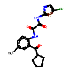 Cc1ccc(NC(=O)C(=O)Nc2ncc(Br)s2)c(C(=O)C2CCCC2)c1